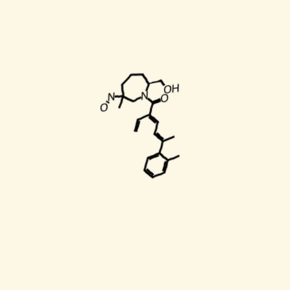 C=C/C(=C\C=C(/C)c1ccccc1C)C(=O)N1CC(C)(N=O)CCC[C@H]1CO